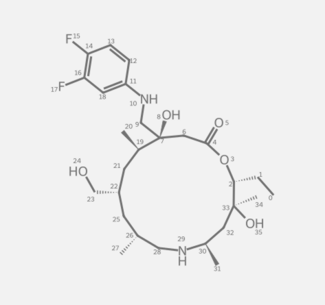 CC[C@H]1OC(=O)C[C@@](O)(CNc2ccc(F)c(F)c2)[C@H](C)C[C@@H](CO)C[C@@H](C)CN[C@H](C)C[C@]1(C)O